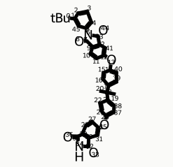 CC(C)(C)c1cccc(N2C(=O)c3ccc(Oc4ccc(C(C)(C)c5ccc(Oc6ccc7c(c6)C(=O)NC7=O)cc5)cc4)cc3C2=O)c1